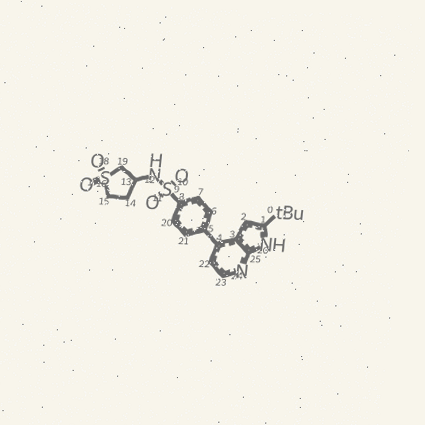 CC(C)(C)c1cc2c(-c3ccc(S(=O)(=O)NC4CCS(=O)(=O)C4)cc3)ccnc2[nH]1